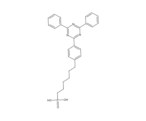 O=P(O)(O)CCCCCCc1ccc(-c2nc(-c3ccccc3)nc(-c3ccccc3)n2)cc1